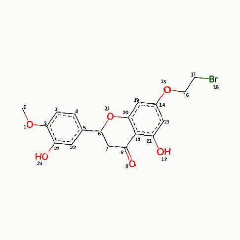 COc1ccc(C2CC(=O)c3c(O)cc(OCCBr)cc3O2)cc1O